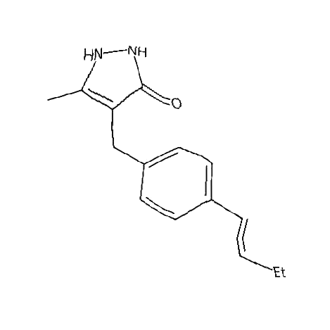 CCC=Cc1ccc(Cc2c(C)[nH][nH]c2=O)cc1